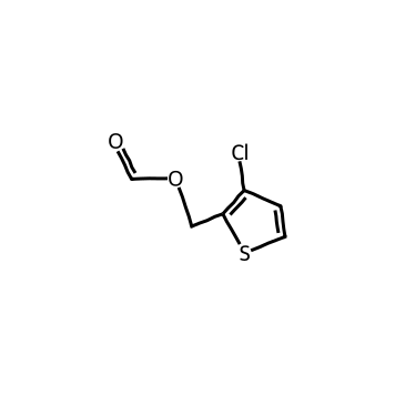 O=COCc1sccc1Cl